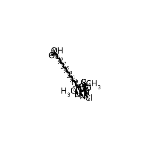 Cc1nc2nc(Cl)nc(S(=O)(=O)C(C)C)c2n1CCCCCCCCCCCCCCCC(=O)O